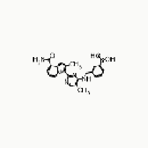 Cc1cnc(-c2c(C)cc3c(C(N)=O)cccn23)nc1NCc1cccc(B(O)O)c1